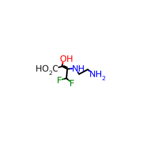 NCCN/C(=C(\O)C(=O)O)C(F)F